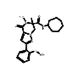 CCCCOc1ccccc1-c1cc2n(n1)CC(C)(C(=O)NC1CCCCCC1)N(CCC)C2=O